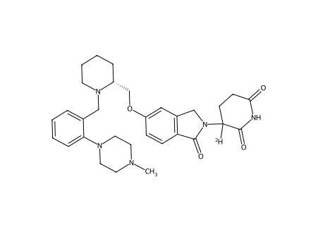 [2H]C1(N2Cc3cc(OC[C@H]4CCCCN4Cc4ccccc4N4CCN(C)CC4)ccc3C2=O)CCC(=O)NC1=O